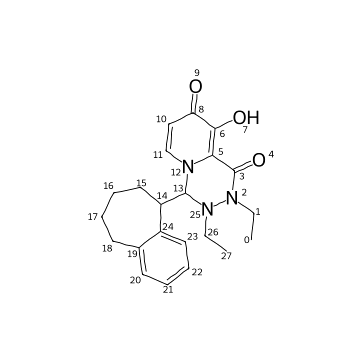 CCN1C(=O)c2c(O)c(=O)ccn2C(C2CCCCc3ccccc32)N1CC